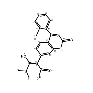 CC(C)C(O)[C@H](C(=O)O)c1ccc2c(-c3ccccc3Cl)cc(=O)oc2c1